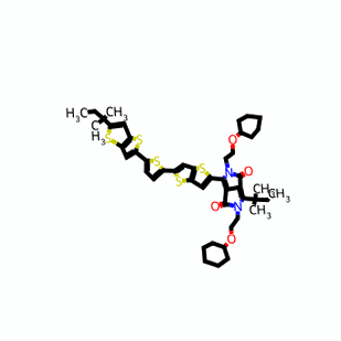 CCC(C)(C)C1=C2C(=O)N(CCOC3CCCCC3)C(c3cc4sc(-c5ccc(-c6cc7sc(C(C)(C)CC)cc7s6)s5)cc4s3)=C2C(=O)N1CCOC1CCCCC1